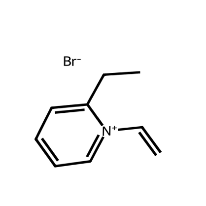 C=C[n+]1ccccc1CC.[Br-]